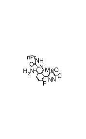 CCCNC(=O)c1ncc2c(-c3nnc(Cl)cc3OC)c(F)ccc2c1N